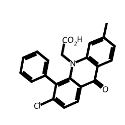 Cc1ccc2c(=O)c3ccc(Cl)c(-c4ccccc4)c3n(CC(=O)O)c2c1